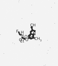 C#Cc1cnc2c(C)cc(OC(CC)(OC)C(=O)NCCF)cc2c1